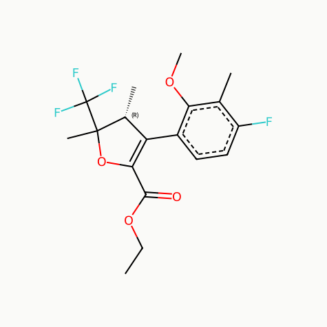 CCOC(=O)C1=C(c2ccc(F)c(C)c2OC)[C@@H](C)C(C)(C(F)(F)F)O1